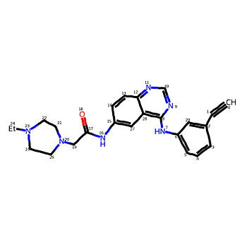 C#Cc1cccc(Nc2ncnc3ccc(NC(=O)CN4CCN(CC)CC4)cc23)c1